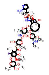 CCN[C@H]1CO[C@@H](O[C@H]2[C@H](O[C@H]3C#C/C=C\C#C[C@]4(O)CC(=O)C(NC(=O)OC)=C3/C4=C\CSSC(C)(C)c3cccnc3N)O[C@H](C)[C@@H](NO[C@H]3C[C@H](O)[C@H](SC(=O)c4c(C)c(I)c(O[C@@H]5O[C@@H](C)[C@H](O)[C@@H](OC)[C@H]5O)c(OC)c4OC)[C@@H](C)O3)[C@@H]2O)C[C@@H]1OC